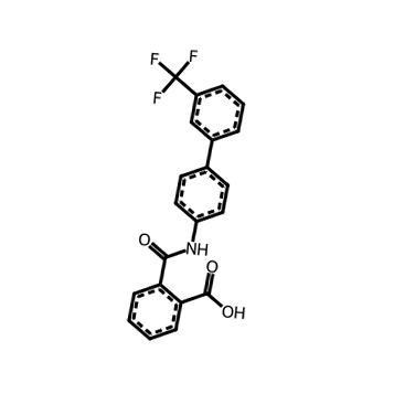 O=C(O)c1ccccc1C(=O)Nc1ccc(-c2cccc(C(F)(F)F)c2)cc1